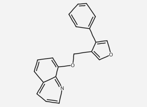 c1ccc(-c2cocc2COc2cccc3cccnc23)cc1